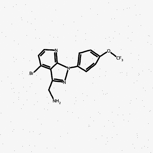 NCc1nn(-c2ccc(OC(F)(F)F)cc2)c2nccc(Br)c12